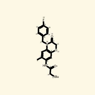 Cc1cc2c(cc1NC(=O)CC(C)(C)C)OCC(=O)N2Cc1ccc(F)cc1